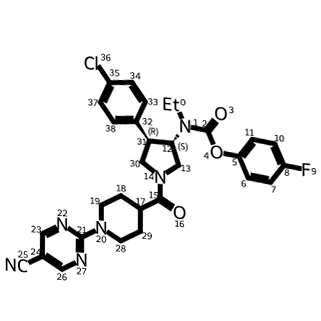 CCN(C(=O)Oc1ccc(F)cc1)[C@@H]1CN(C(=O)C2CCN(c3ncc(C#N)cn3)CC2)C[C@H]1c1ccc(Cl)cc1